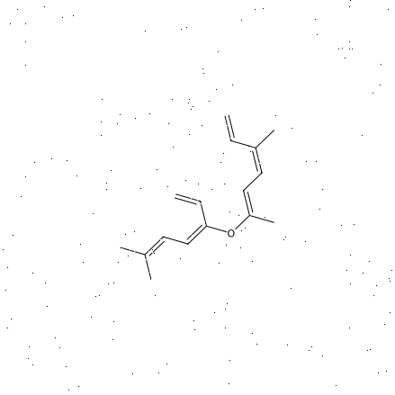 C=C/C(C)=C\C=C(/C)O/C(C=C)=C/C=C(C)C